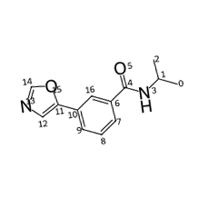 CC(C)NC(=O)c1cccc(-c2cnco2)c1